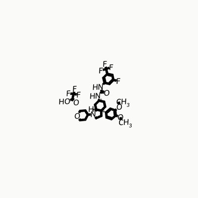 COc1ccc([C@@]23CC[C@@H](NC(=O)Nc4cc(F)cc(C(F)(F)F)c4)C[C@@H]2N(C2CCOCC2)CC3)cc1OC.O=C(O)C(F)(F)F